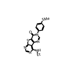 CCNc1ncnc2sc3c(=O)n(-c4ccc(SC)cc4)cnc3c12